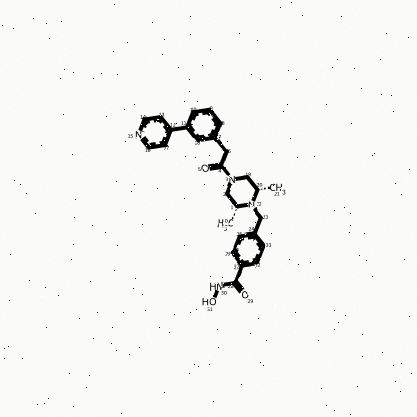 C[C@@H]1CN(C(=O)Cc2cccc(-c3ccncc3)c2)C[C@H](C)N1Cc1ccc(C(=O)NO)cc1